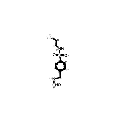 O=CNCc1ccc(S(=O)(=O)NCCO)cc1